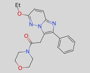 CCOc1ccc2nc(-c3ccccc3)c(CC(=O)N3CCOCC3)n2n1